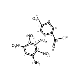 Nc1cc([N+](=O)[O-])c([N+](=O)[O-])c([N+](=O)[O-])c1[N+](=O)[O-].O=C(Cl)c1ccc([N+](=O)[O-])cc1